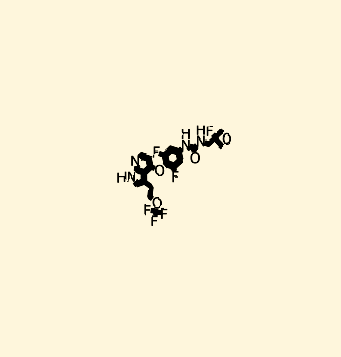 O=C(NCC1(F)COC1)Nc1cc(F)c(Oc2ccnc3[nH]cc(CCOC(F)(F)F)c23)c(F)c1